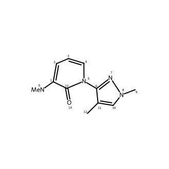 CNc1cccn(-c2nn(C)cc2C)c1=O